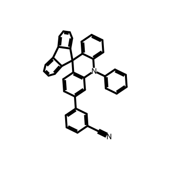 N#Cc1cccc(-c2ccc3c(c2)N(c2ccccc2)c2ccccc2C32c3ccccc3-c3ccccc32)c1